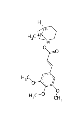 COc1cc(C=CC(=O)O[C@]23CCC[C@H](CC2)N3C)cc(OC)c1OC